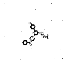 CC(=O)NCCNc1cc(N2CCN(C(=O)c3ccccc3)CC2)nc(-c2ccc(Cl)cc2)n1